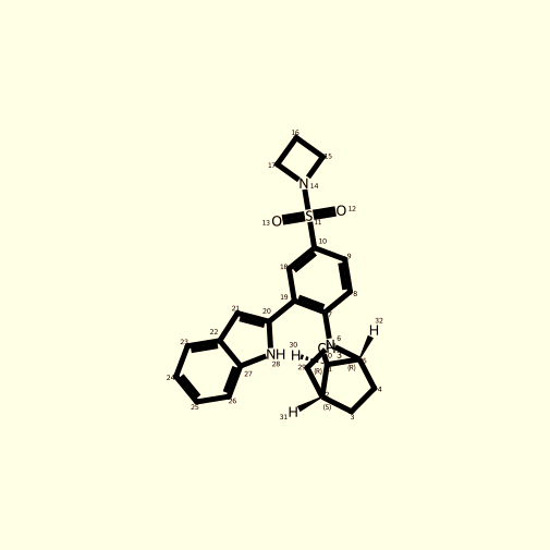 C[C@@H]1[C@@H]2CC[C@H]1N(c1ccc(S(=O)(=O)N3CCC3)cc1-c1cc3ccccc3[nH]1)C2